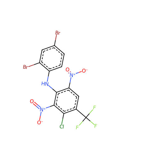 O=[N+]([O-])c1cc(C(F)(F)F)c(Cl)c([N+](=O)[O-])c1Nc1ccc(Br)cc1Br